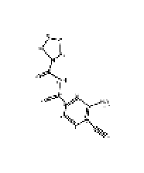 C#Cc1ccc(C(=O)NC(=O)N2CCCC2)cc1[N+](=O)[O-]